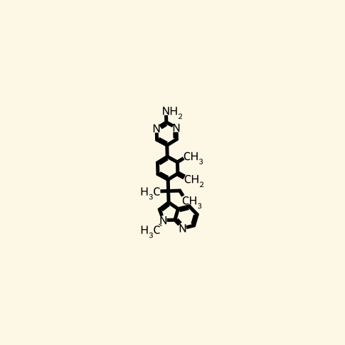 C=C1C(C(C)(CC)c2cn(C)c3ncccc23)=CC=C(c2cnc(N)nc2)C1C